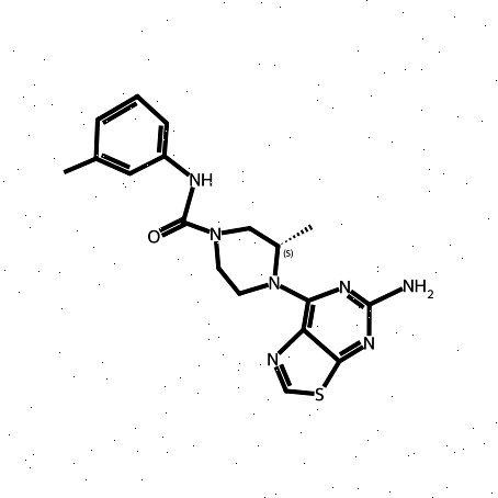 Cc1cccc(NC(=O)N2CCN(c3nc(N)nc4scnc34)[C@@H](C)C2)c1